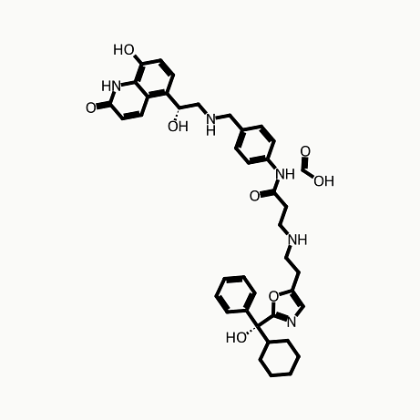 O=C(CCNCCc1cnc([C@](O)(c2ccccc2)C2CCCCC2)o1)Nc1ccc(CNC[C@H](O)c2ccc(O)c3[nH]c(=O)ccc23)cc1.O=CO